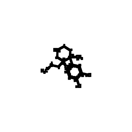 COC[C@]1(C)CNCC[C@]1(C)c1ccc(Cl)c(Cl)c1